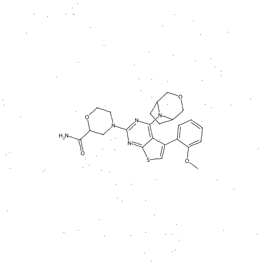 COc1ccccc1-c1csc2nc(N3CCOC(C(N)=O)C3)nc(N3C4CCC3COC4)c12